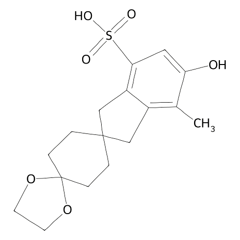 Cc1c(O)cc(S(=O)(=O)O)c2c1CC1(CCC3(CC1)OCCO3)C2